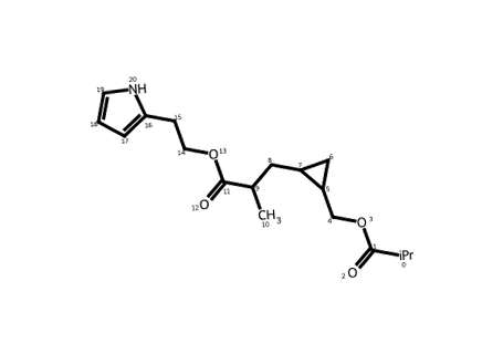 CC(C)C(=O)OCC1CC1CC(C)C(=O)OCCc1ccc[nH]1